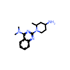 CC1CC(N)CCN1c1nc(N(C)C)c2ccccc2n1